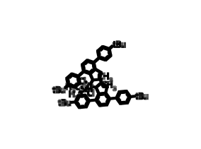 CC1=Cc2c(-c3ccc(C(C)(C)C)cc3)ccc(-c3ccc(C(C)(C)C)cc3)c2[CH]1[Zr]([Cl])([Cl])([CH]1C(C)=Cc2c(-c3ccc(C(C)(C)C)cc3)ccc(-c3ccc(C(C)(C)C)cc3)c21)[SiH](C)C